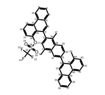 Cc1cc(-c2cc3ccccc3c3cccc(OS(=O)(=O)C(F)(F)F)c23)c(C)c2ccc(-c3cc4ccccc4c4cccc(C)c34)cc12